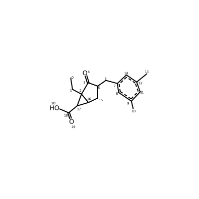 CCC12C(=O)C(Cc3cc(C)cc(C)c3)CC1C2C(=O)O